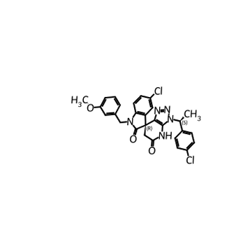 COc1cccc(CN2C(=O)[C@]3(CC(=O)Nc4c3nnn4[C@@H](C)c3ccc(Cl)cc3)c3cc(Cl)ccc32)c1